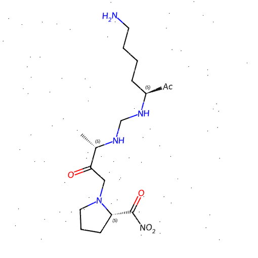 CC(=O)[C@H](CCCCN)NCN[C@@H](C)C(=O)CN1CCC[C@H]1C(=O)[N+](=O)[O-]